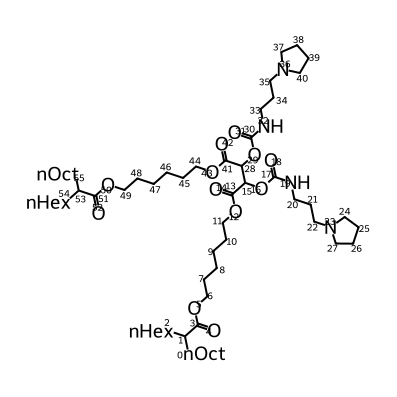 CCCCCCCCC(CCCCCC)C(=O)OCCCCCCOC(=O)C(OC(=O)NCCCN1CCCC1)C(OC(=O)NCCCN1CCCC1)C(=O)OCCCCCCOC(=O)C(CCCCCC)CCCCCCCC